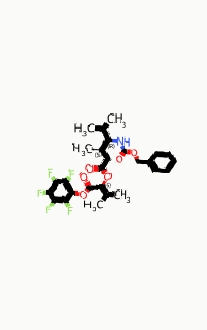 CC(C)[C@H](OC(=O)C[C@H](C)[C@H](NC(=O)OCc1ccccc1)C(C)C)C(=O)Oc1c(F)c(F)c(F)c(F)c1F